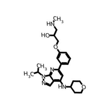 CNCC(O)COc1cccc(-c2cc(NC3CCOCC3)c3cnn(C(C)C)c3n2)c1